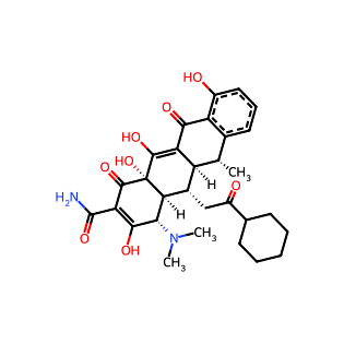 C[C@H]1c2cccc(O)c2C(=O)C2=C(O)[C@]3(O)C(=O)C(C(N)=O)=C(O)[C@@H](N(C)C)[C@@H]3[C@@H](CC(=O)C3CCCCC3)[C@@H]21